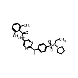 CCN(N1CCCC1)S(=O)(=O)c1ccc(Nc2ncc(NC(=O)c3c(C)cccc3C)cn2)cc1